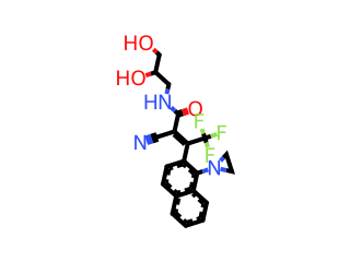 N#C/C(C(=O)NCC(O)CO)=C(\c1ccc2ccccc2c1N1CC1)C(F)(F)F